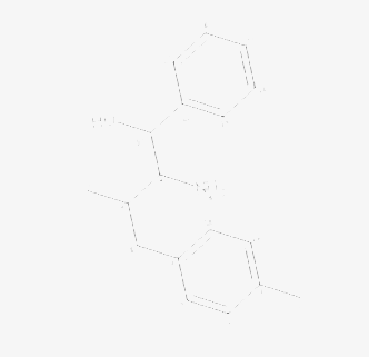 Cc1ccc(CC(C)C(N)C(O)c2ccccc2)cc1